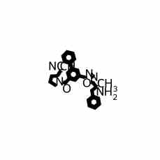 C#CC1CCCN1C(=O)c1cc(-c2nnc([C@@](C)(N)Cc3ccccc3)o2)cc(-c2ccccc2C#N)c1